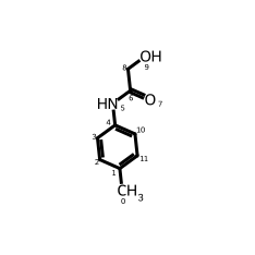 Cc1ccc(NC(=O)CO)cc1